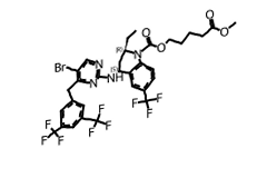 CC[C@@H]1C[C@H](Nc2ncc(Br)c(Cc3cc(C(F)(F)F)cc(C(F)(F)F)c3)n2)c2cc(C(F)(F)F)ccc2N1C(=O)OCCCCC(=O)OC